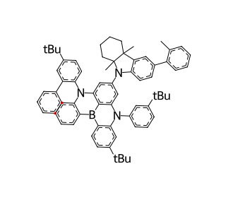 Cc1ccccc1-c1ccc2c(c1)C1(C)CCCCC1(C)N2c1cc2c3c(c1)N(c1ccc(C(C)(C)C)cc1-c1ccccc1)c1ccccc1B3c1ccc(C(C)(C)C)cc1N2c1cccc(C(C)(C)C)c1